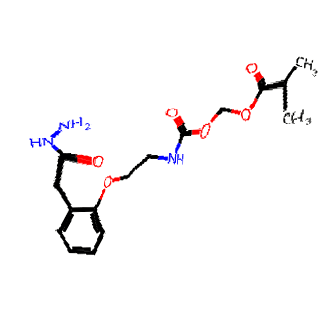 CC(C)C(=O)OCOC(=O)NCCOc1ccccc1CC(=O)NN